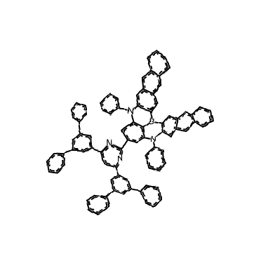 c1ccc(-c2cc(-c3ccccc3)cc(-c3cc(-c4cc(-c5ccccc5)cc(-c5ccccc5)c4)nc(-c4cc5c6c(c4)N(c4ccccc4)c4cc7cc8ccccc8cc7cc4B6c4cc6cc7ccccc7cc6cc4N5c4ccccc4)n3)c2)cc1